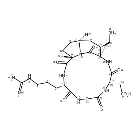 N=C(N)NCCC[C@@H]1NC(=O)[C@@H]2CC[C@H]3C[C@@H](CN)[C@@H](NC(=O)[C@H](CC(=O)O)NC(=O)CNC1=O)C(=O)N32